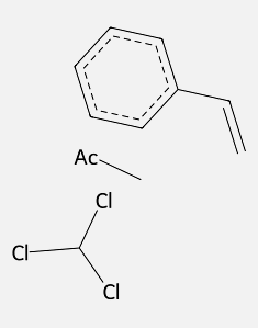 C=Cc1ccccc1.CC(C)=O.ClC(Cl)Cl